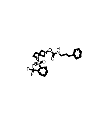 O=C(NCCCc1ccccc1)ON1CC2(CCN2S(=O)(=O)c2ccccc2C(F)(F)F)C1